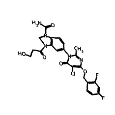 Cc1nc(OCc2ccc(F)cc2F)c(Cl)c(=O)n1-c1ccc2c(c1)N(C(=O)CCO)CN2C(N)=O